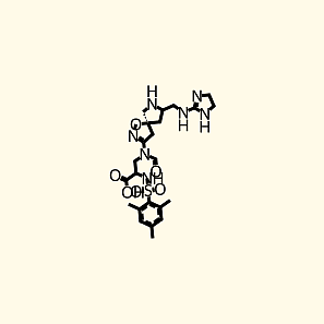 Cc1cc(C)c(S(=O)(=O)NC(CN(C=O)C2=NO[C@]3(CNC(CNC4=NCCN4)C3)C2)C(=O)O)c(C)c1